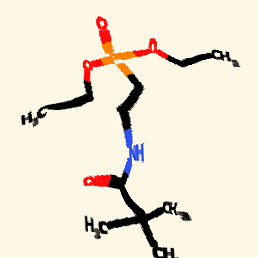 CCOP(=O)(CCNC(=O)C(C)(C)C)OCC